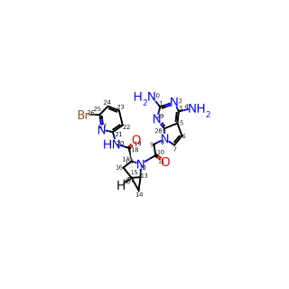 Nc1nc(N)c2ccn(CC(=O)N3C4C[C@@H]4C[C@H]3C(=O)Nc3cccc(Br)n3)c2n1